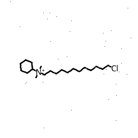 C[N+](C)(CCCCCCCCCCCCCl)C1CCCCC1